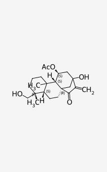 C=C1C(=O)[C@@]23CC[C@H]4C(C)(CCC[C@@]4(C)CO)[C@@H]2[C@@H](OC(C)=O)CC1(O)C3